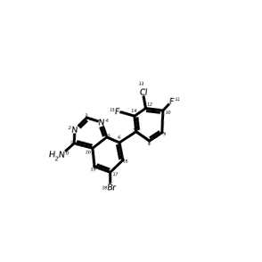 Nc1ncnc2c(-c3ccc(F)c(Cl)c3F)cc(Br)cc12